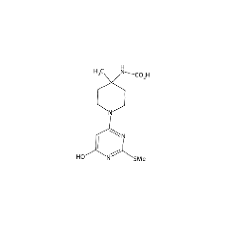 CSc1nc(O)cc(N2CCC(C)(NC(=O)O)CC2)n1